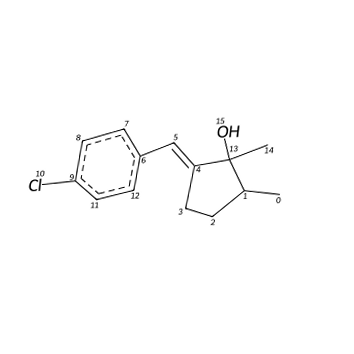 CC1CC/C(=C\c2ccc(Cl)cc2)C1(C)O